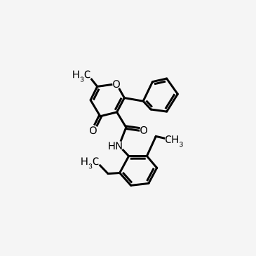 CCc1cccc(CC)c1NC(=O)c1c(-c2ccccc2)oc(C)cc1=O